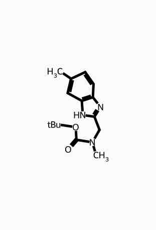 Cc1ccc2nc(CN(C)C(=O)OC(C)(C)C)[nH]c2c1